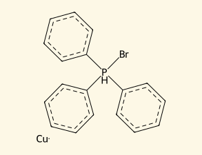 Br[PH](c1ccccc1)(c1ccccc1)c1ccccc1.[Cu]